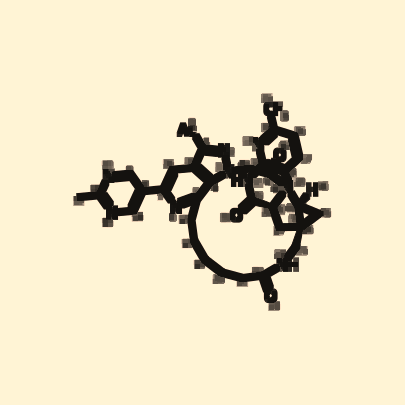 CC(=O)c1nn2c3c(nc(-c4cnc(C)nc4)cc13)CCCCCC(=O)NC[C@@]13C[C@@H](C(=O)Nc4nc(C(F)(F)F)ccc4C)N(C(=O)C2)[C@@H]1C3